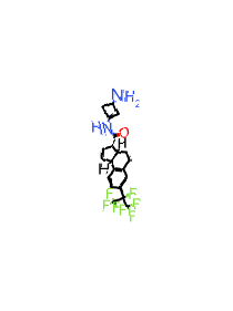 N[C@H]1C[C@@H](NC(=O)[C@@H]2CC[C@H]3c4ccc(C(F)(C(F)(F)F)C(F)(F)F)cc4CC[C@@H]23)C1